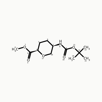 COC(=O)[C@H]1CC[C@@H](NC(=O)OC(C)(C)C)CO1